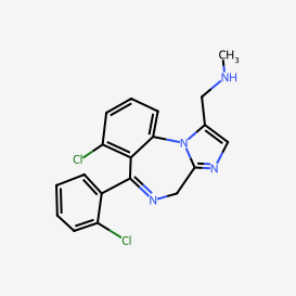 CNCc1cnc2n1-c1cccc(Cl)c1C(c1ccccc1Cl)=NC2